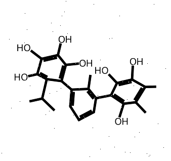 Cc1c(-c2c(O)c(C)c(C)c(O)c2O)cccc1-c1c(O)c(O)c(O)c(O)c1C(C)C